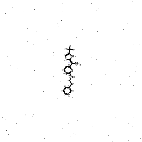 CC(C)(C)C1=CS/C(=C(/N)c2ccnc(NCCc3cccnc3)n2)N1